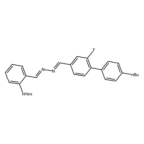 CCCCCCc1ccccc1C=NN=Cc1ccc(-c2ccc(CCCC)cc2)c(F)c1